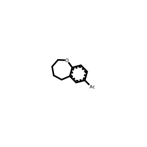 CC(=O)c1ccc2c(c1)CCCCO2